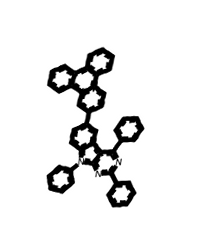 c1ccc(-c2nc(-c3ccccc3)c3c4cc(-c5ccc6c7ccccc7c7ccccc7c6c5)ccc4n(-c4ccccc4)c3n2)cc1